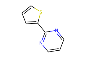 c1cnc(-c2cccs2)nc1